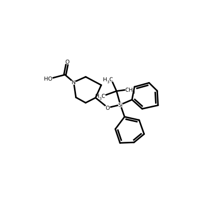 CC(C)(C)[Si](OC1CCN(C(=O)O)CC1)(c1ccccc1)c1ccccc1